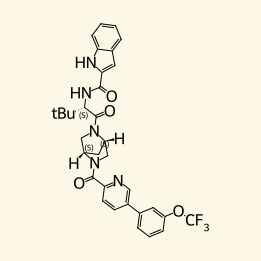 CC(C)(C)[C@H](NC(=O)c1cc2ccccc2[nH]1)C(=O)N1C[C@@H]2C[C@H]1CN2C(=O)c1ccc(-c2cccc(OC(F)(F)F)c2)cn1